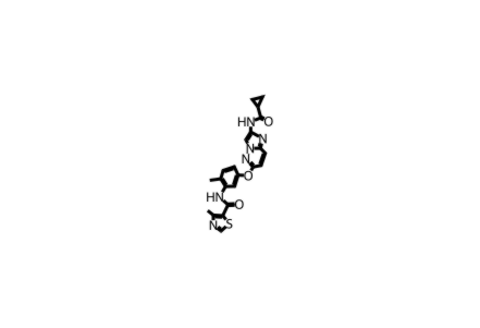 Cc1ccc(Oc2ccc3nc(NC(=O)C4CC4)cn3n2)cc1NC(=O)c1scnc1C